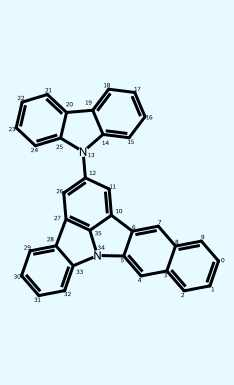 c1ccc2cc3c(cc2c1)c1cc(-n2c4ccccc4c4ccccc42)cc2c4ccccc4n3c21